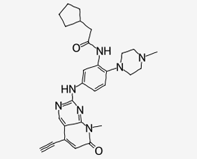 C#Cc1cc(=O)n(C)c2nc(Nc3ccc(N4CCN(C)CC4)c(NC(=O)CC4CCCC4)c3)ncc12